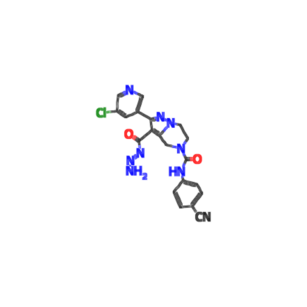 N#Cc1ccc(NC(=O)N2CCn3nc(-c4cncc(Cl)c4)c(C(=O)N=NN)c3C2)cc1